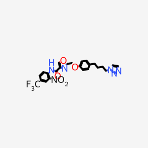 O=C(Nc1ccc(C(F)(F)F)cc1[N+](=O)[O-])c1coc(COc2ccc(CCCCn3ccnn3)cc2)n1